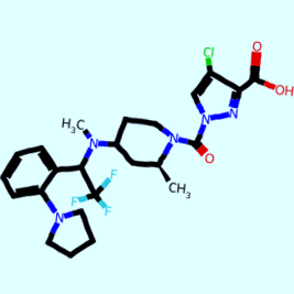 C[C@H]1CC(N(C)C(c2ccccc2N2CCCC2)C(F)(F)F)CCN1C(=O)n1cc(Cl)c(C(=O)O)n1